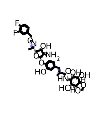 C/C(=C\c1ccc(O[C@@H]2O[C@H](/C(C)=N/OCc3ccc(F)c(F)c3)[C@@H](O)[C@H]2N)c(O)c1)C(=O)N[C@@H]1[C@H](O)[C@@H](O)[C@H]2OCO[C@H]2[C@@H]1O